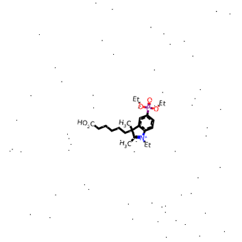 CCOP(=O)(OCC)c1ccc2c(c1)C(C)(CCCCCC(=O)O)C(C)=[N+]2CC